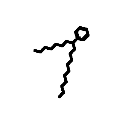 CCCCCCCCCCC(CCCCCCC)[n+]1ccccc1